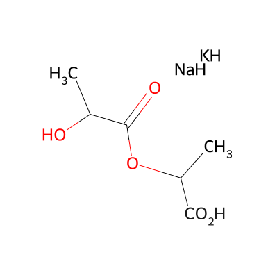 CC(O)C(=O)OC(C)C(=O)O.[KH].[NaH]